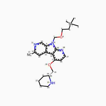 C[Si](C)(C)CCOCn1c2cnc(C#N)cc2c2c(OC[C@H]3CCCCN3)ccnc21